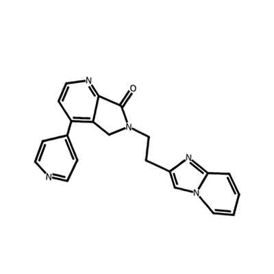 O=C1c2nccc(-c3ccncc3)c2CN1CCc1cn2ccccc2n1